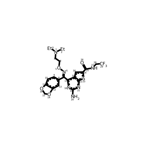 CCN(CC)CCON=C(c1ccc2c(c1)OCO2)c1nc(N)nc2sc(C(=O)NCC(F)(F)F)cc12